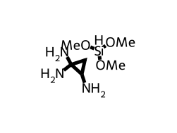 CO[SiH](OC)OC.NC1CC1(N)N